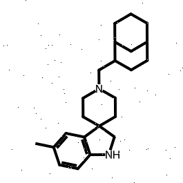 Cc1ccc2c(c1)C1(CCN(CC3CCC4CCCC3C4)CC1)CN2